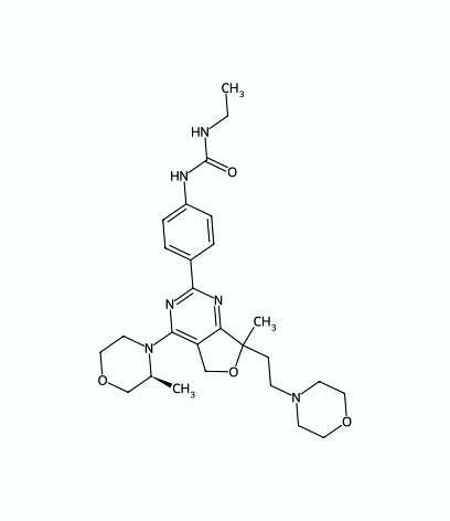 CCNC(=O)Nc1ccc(-c2nc(N3CCOC[C@@H]3C)c3c(n2)C(C)(CCN2CCOCC2)OC3)cc1